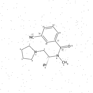 CC(C)[C@H](CN1CCCC1)N(C)C(=O)c1cccc(C#N)c1